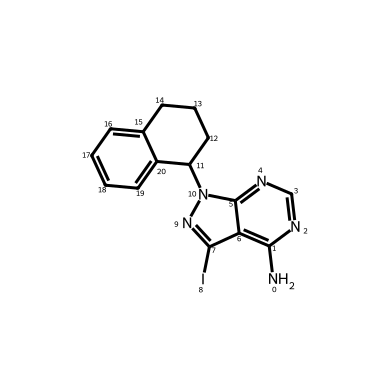 Nc1ncnc2c1c(I)nn2C1CCCc2ccccc21